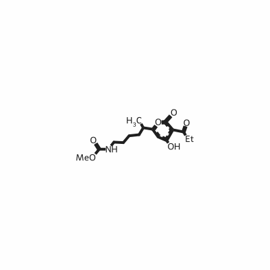 CCC(=O)c1c(O)cc(C(C)CCCCNC(=O)OC)oc1=O